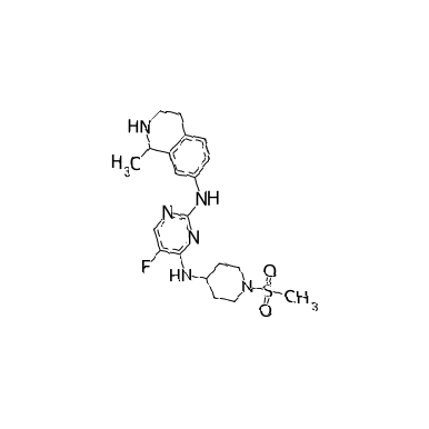 CC1NCCc2ccc(Nc3ncc(F)c(NC4CCN(S(C)(=O)=O)CC4)n3)cc21